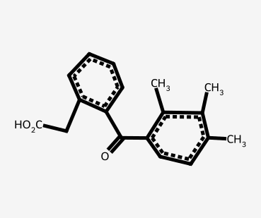 Cc1ccc(C(=O)c2ccccc2CC(=O)O)c(C)c1C